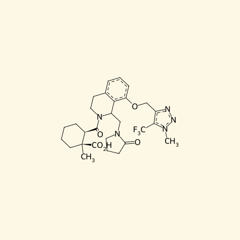 Cn1nnc(COc2cccc3c2C(CN2CCCC2=O)N(C(=O)[C@@H]2CCCC[C@]2(C)C(=O)O)CC3)c1C(F)(F)F